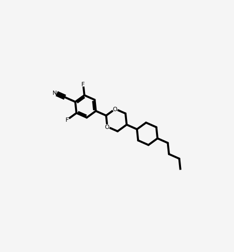 CCCCC1CCC(C2COC(c3cc(F)c(C#N)c(F)c3)OC2)CC1